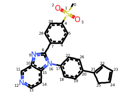 CS(=O)(=O)c1ccc(-c2nc3cnccc3n2-c2ccc(C3=CC=CC3)cc2)cc1